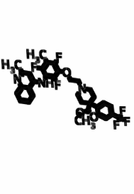 COC(=O)C1(c2ccc(C(F)(F)F)cc2)CCN(CCOc2c(F)c(C)c(F)c(Nc3cc(C)nc4ccccc34)c2F)CC1